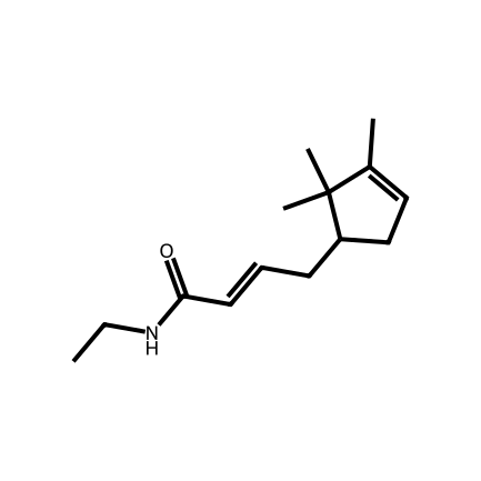 CCNC(=O)/C=C/CC1CC=C(C)C1(C)C